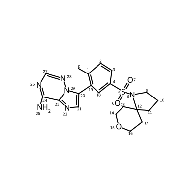 Cc1ccc(S(=O)(=O)N2CCCC23CCOCC3)cc1-c1cnc2c(N)ncnn12